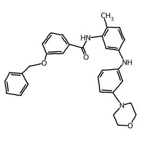 Cc1ccc(Nc2cccc(N3CCOCC3)c2)cc1NC(=O)c1cccc(OCc2ccccc2)c1